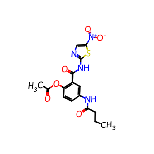 CCCC(=O)Nc1ccc(OC(C)=O)c(C(=O)Nc2ncc([N+](=O)[O-])s2)c1